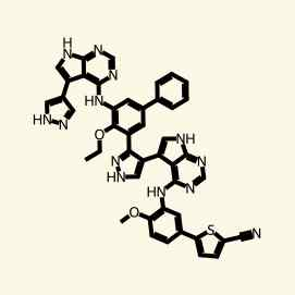 CCOc1c(Nc2ncnc3[nH]cc(-c4cn[nH]c4)c23)cc(-c2ccccc2)cc1-c1n[nH]cc1-c1c[nH]c2ncnc(Nc3cc(-c4ccc(C#N)s4)ccc3OC)c12